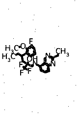 CCc1ncc2c(N=CC(O)(CC(CC)c3cccc(F)c3OC)C(F)(F)F)cccc2n1